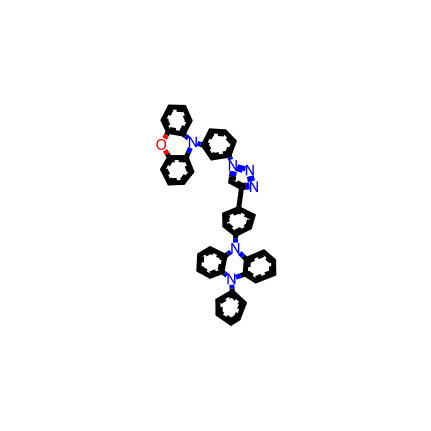 c1ccc(N2c3ccccc3N(c3ccc(-c4cn(-c5cccc(N6c7ccccc7Oc7ccccc76)c5)nn4)cc3)c3ccccc32)cc1